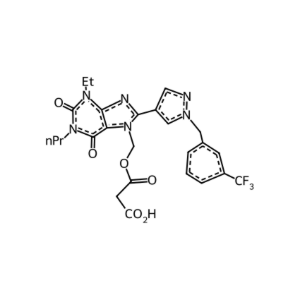 CCCn1c(=O)c2c(nc(-c3cnn(Cc4cccc(C(F)(F)F)c4)c3)n2COC(=O)CC(=O)O)n(CC)c1=O